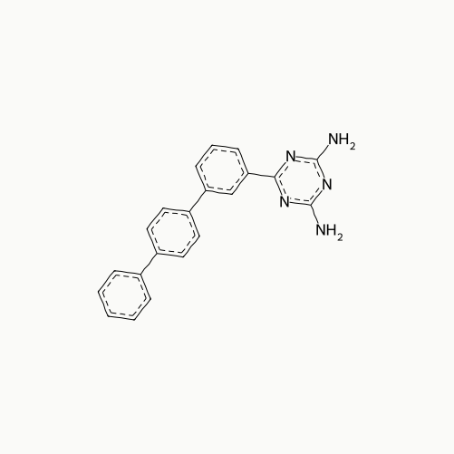 Nc1nc(N)nc(-c2cccc(-c3ccc(-c4ccccc4)cc3)c2)n1